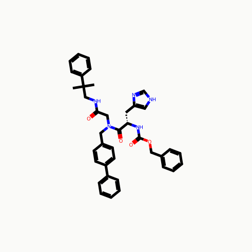 CC(C)(CNC(=O)CN(Cc1ccc(-c2ccccc2)cc1)C(=O)[C@H](Cc1c[nH]cn1)NC(=O)OCc1ccccc1)c1ccccc1